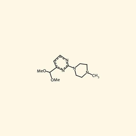 COC(OC)c1ccnc(N2CCN(C)CC2)n1